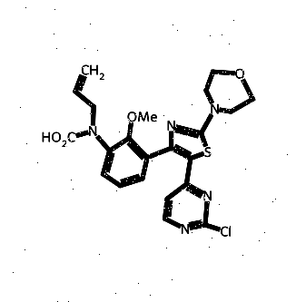 C=CCN(C(=O)O)c1cccc(-c2nc(N3CCOCC3)sc2-c2ccnc(Cl)n2)c1OC